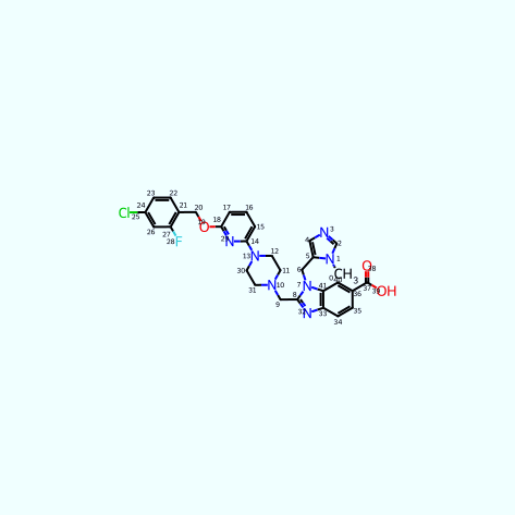 Cn1cncc1Cn1c(CN2CCN(c3cccc(OCc4ccc(Cl)cc4F)n3)CC2)nc2ccc(C(=O)O)cc21